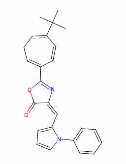 CC(C)(C)C1=CCC=C(C2=N/C(=C/c3cccn3-c3ccccc3)C(=O)O2)C=C1